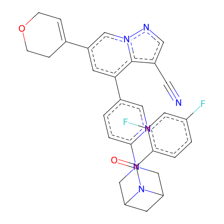 N#Cc1cnn2cc(C3=CCOCC3)cc(-c3ccc(N4CC5CC(C4)N5C(=O)c4ccc(F)cc4F)nc3)c12